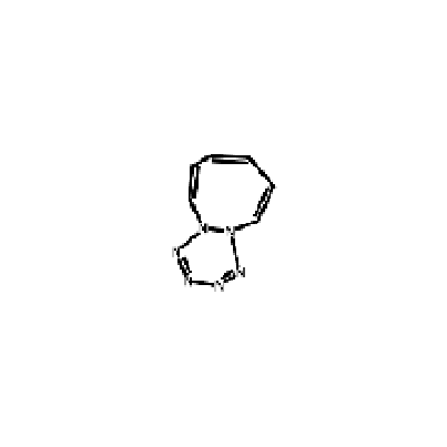 c1cccn2nnnnn2cc1